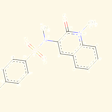 CN(c1cc2ccccc2n(C)c1=O)S(=O)(=O)c1ccc(C#N)cc1